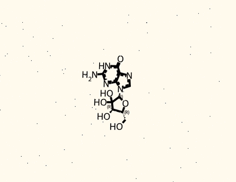 Nc1nc2c(ncn2[C@@H]2O[C@H](CO)[C@@H](O)C2(O)O)c(=O)[nH]1